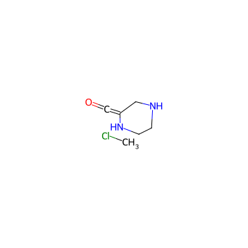 CCl.O=C=C1CNCCN1